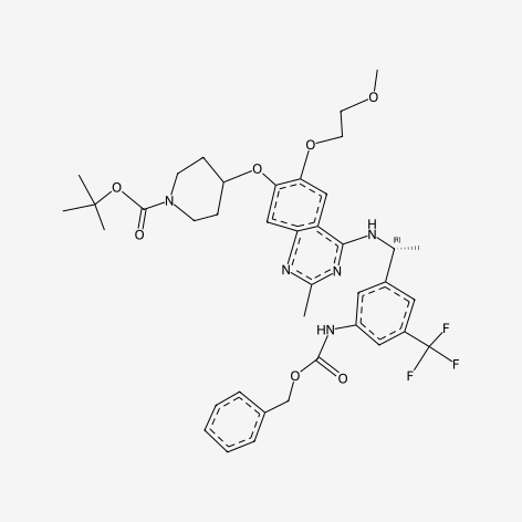 COCCOc1cc2c(N[C@H](C)c3cc(NC(=O)OCc4ccccc4)cc(C(F)(F)F)c3)nc(C)nc2cc1OC1CCN(C(=O)OC(C)(C)C)CC1